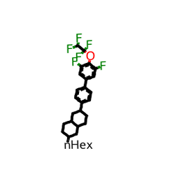 CCCCCCC1CCC2CC(c3ccc(-c4cc(F)c(OC(F)(F)C(F)F)c(F)c4)cc3)CCC2C1